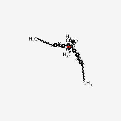 CCCCCCCCCCCCOc1ccc(C(=O)Oc2ccc(-c3ccc(C(OC(c4ccc(-c5ccc(OC(=O)c6ccc(OCCCCCCCCCCCC)cc6)cc5)cc4)[C@@H]4OC(=O)O[C@@H]4CCC)[C@@H]4OC(=O)O[C@@H]4CCC)cc3)cc2)cc1